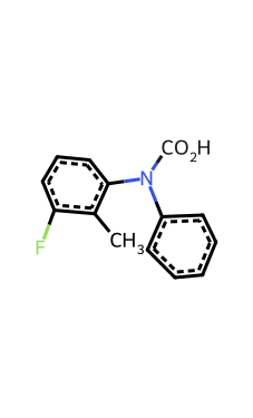 Cc1c(F)cccc1N(C(=O)O)c1ccccc1